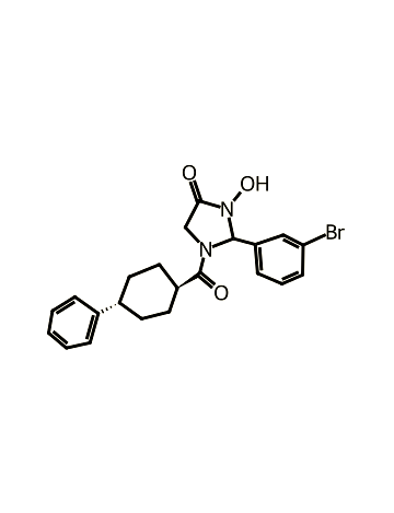 O=C1CN(C(=O)[C@H]2CC[C@H](c3ccccc3)CC2)C(c2cccc(Br)c2)N1O